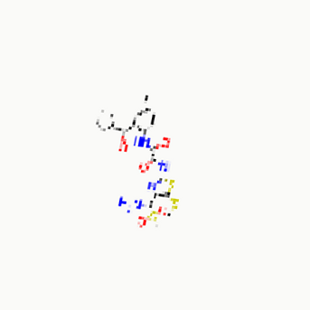 CSc1sc(NC(=O)C(=O)Nc2ccc(C)cc2C(=O)C2CCCC2)nc1C(N)S(C)(=O)=O